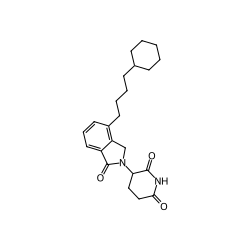 O=C1CCC(N2Cc3c(CCCCC4CCCCC4)cccc3C2=O)C(=O)N1